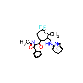 Cc1nc(C(=O)C2CCCC(F)(F)CC(C)C(CNC3=C/CCC/C=C(C(F)(F)F)/C=N\3)C2)c(-c2ccccc2)o1